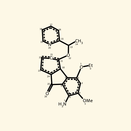 CCOc1cc(OC)c(N)c2c1-c1c(OC(C)c3ccccn3)cccc1C2=O